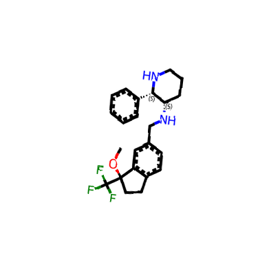 COC1(C(F)(F)F)CCc2ccc(CN[C@H]3CCCN[C@H]3c3ccccc3)cc21